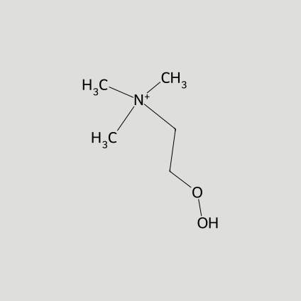 C[N+](C)(C)CCOO